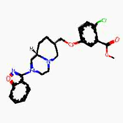 COC(=O)c1cc(OC[C@@H]2CC[C@H]3CN(c4noc5ccccc45)CCN3C2)ccc1Cl